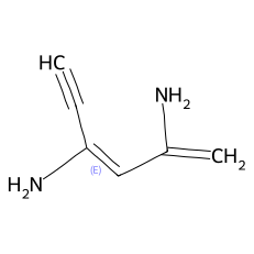 C#C/C(N)=C\C(=C)N